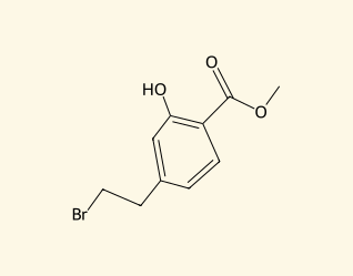 COC(=O)c1ccc(CCBr)cc1O